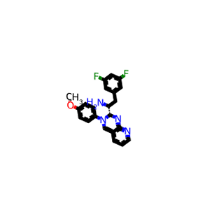 COc1ccc(N2C=c3cccnc3=N[C@H]2C(N)Cc2cc(F)cc(F)c2)cc1